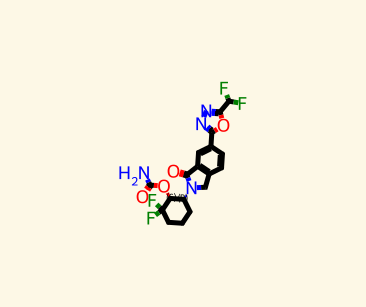 NC(=O)O[C@H]1[C@H](N2Cc3ccc(-c4nnc(C(F)F)o4)cc3C2=O)CCCC1(F)F